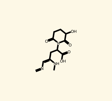 C=N/C=C(/CC(C(=O)O)N1C(=O)CCC(O)C1=O)NC